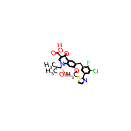 COc1cc2c(cc1Cc1cc(-c3nccs3)cc(Cl)c1F)c(=O)c(C(=O)O)cn2[C@H](CO)C(C)C